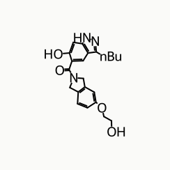 CCCCc1n[nH]c2cc(O)c(C(=O)N3Cc4ccc(OCCO)cc4C3)cc12